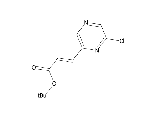 CC(C)(C)OC(=O)C=Cc1cncc(Cl)n1